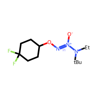 CCN(/[N+]([O-])=N/OC1CCC(F)(F)CC1)C(C)(C)C